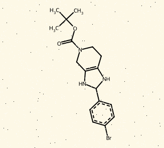 CC(C)(C)OC(=O)N1CCC2=C(C1)NC(c1ccc(Br)cc1)N2